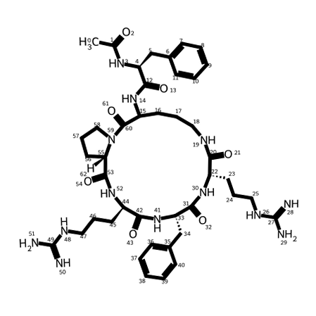 CC(=O)N[C@@H](Cc1ccccc1)C(=O)NC1CCCNC(=O)[C@H](CCCNC(=N)N)NC(=O)[C@H](Cc2ccccc2)NC(=O)[C@@H](CCCNC(=N)N)NC(=O)[C@@H]2CCCN2C1=O